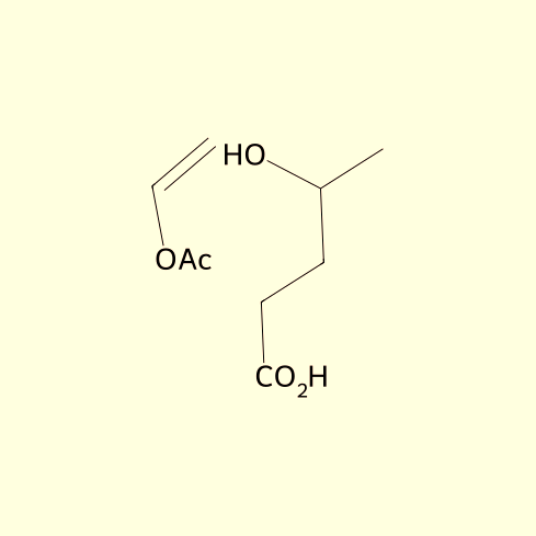 C=COC(C)=O.CC(O)CCC(=O)O